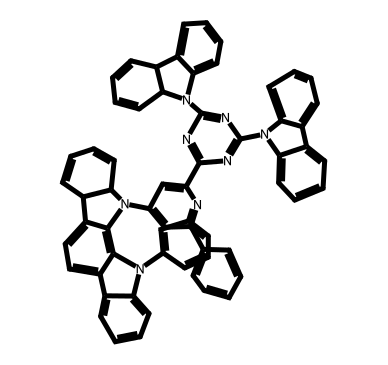 C1=CC2c3ccccc3N(c3nc(-c4cc(N5c6c(ccc7c8ccccc8n(-c8ccccc8)c67)C6C=CC=CC65)cc(-c5ccccc5)n4)nc(-n4c5ccccc5c5ccccc54)n3)C2C=C1